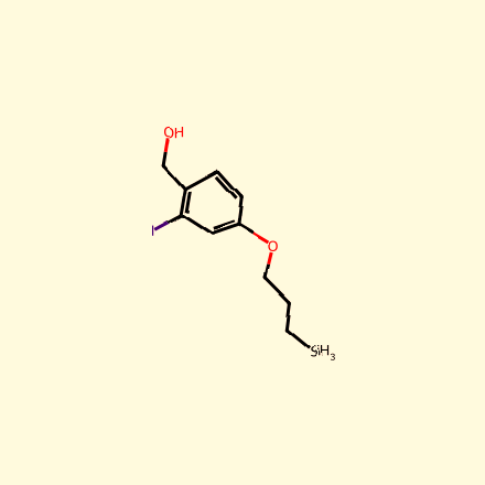 OCc1ccc(OCCC[SiH3])cc1I